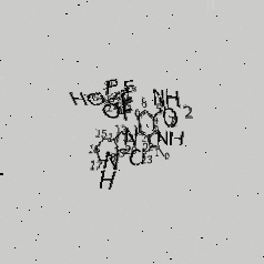 Cc1[nH]c2c(C(N)=O)cc(F)c(N3CC4CCCNC4C3)c2c1Cl.O=C(O)C(F)(F)F